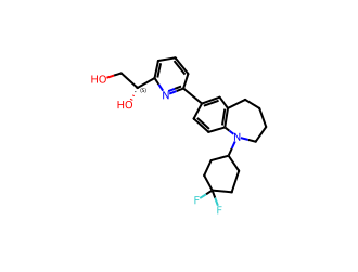 OC[C@@H](O)c1cccc(-c2ccc3c(c2)CCCCN3C2CCC(F)(F)CC2)n1